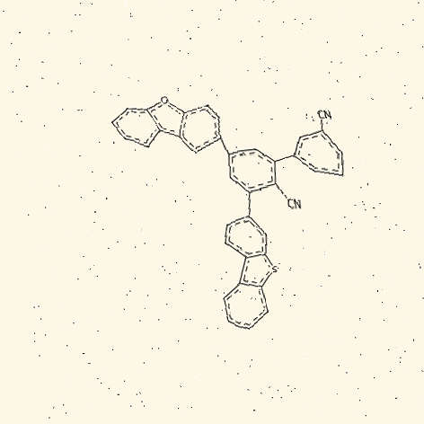 N#Cc1cccc(-c2cc(-c3ccc4oc5ccccc5c4c3)cc(-c3ccc4c(c3)sc3ccccc34)c2C#N)c1